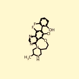 CC1CN2c3ncnc4c(F)c(-c5c(O)cccc5F)c(Cl)c(c34)OCCC2CN1